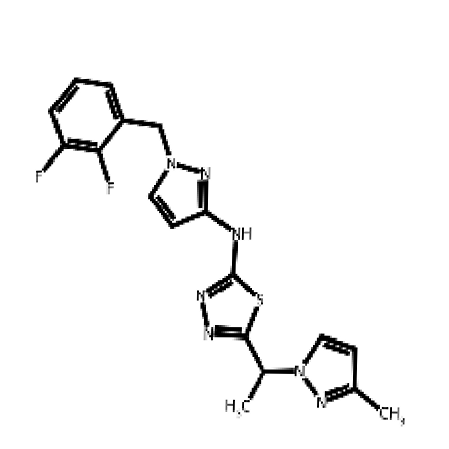 Cc1ccn(C(C)c2nnc(Nc3ccn(Cc4cccc(F)c4F)n3)s2)n1